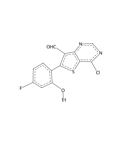 CCOc1cc(F)ccc1-c1sc2c(Cl)ncnc2c1C=O